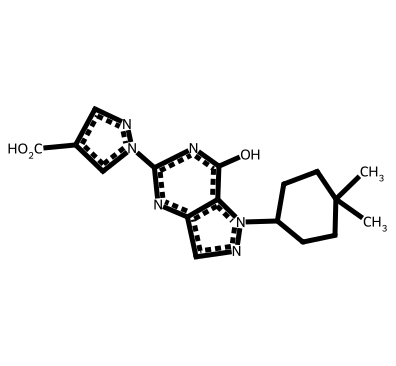 CC1(C)CCC(n2ncc3nc(-n4cc(C(=O)O)cn4)nc(O)c32)CC1